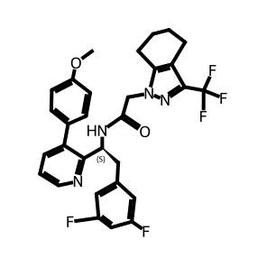 COc1ccc(-c2cccnc2[C@H](Cc2cc(F)cc(F)c2)NC(=O)Cn2nc(C(F)(F)F)c3c2CCCC3)cc1